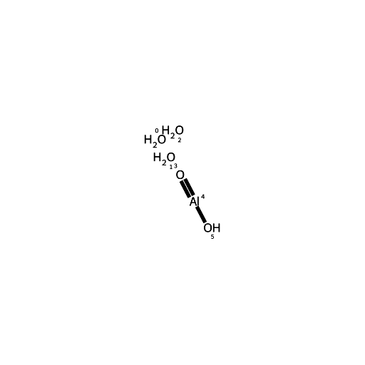 O.O.O.[O]=[Al][OH]